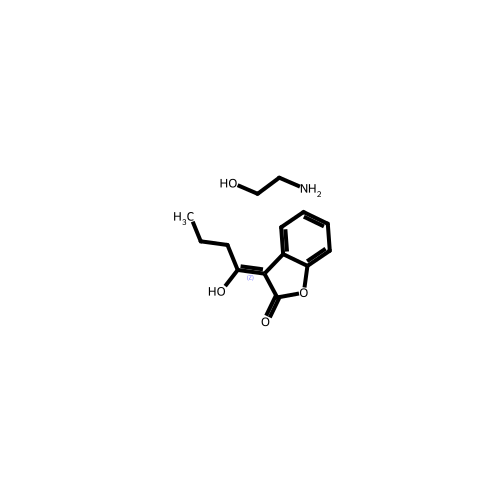 CCC/C(O)=C1/C(=O)Oc2ccccc21.NCCO